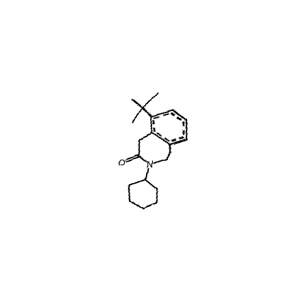 CC(C)(C)c1cccc2c1CC(=O)N(C1CCCCC1)C2